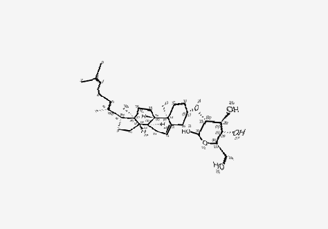 CC(C)CCC[C@@H](C)[C@H]1CC[C@H]2[C@@H]3CC=C4C[C@@H](O[C@H]5C(O)O[C@H](CO)[C@@H](O)[C@@H]5O)CC[C@]4(C)[C@H]3CC[C@]12C